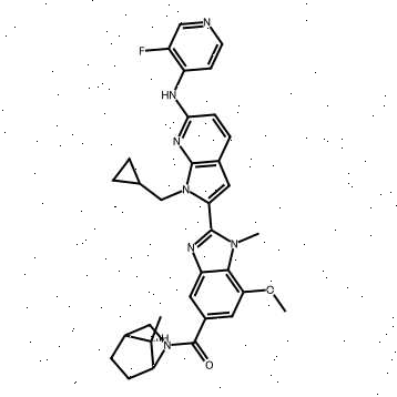 COc1cc(C(=O)N2CC3CCC2[C@@H]3C)cc2nc(-c3cc4ccc(Nc5ccncc5F)nc4n3CC3CC3)n(C)c12